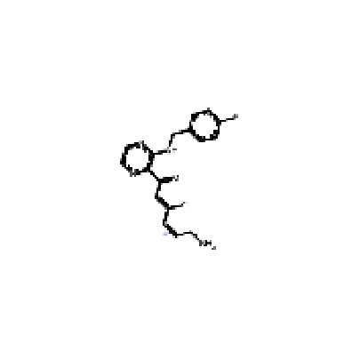 NC/C=C\C(Cl)=CC(=O)c1nccnc1NCc1ccc(F)cc1